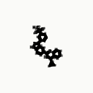 CS(=O)(=O)c1cccc(-c2n[nH]c3ccc(C(=O)NC(c4ccccc4)C4CC4)cc23)c1